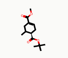 COC(=O)C1=CC[C@@H](C(=O)OC(C)(C)C)C(C)C1